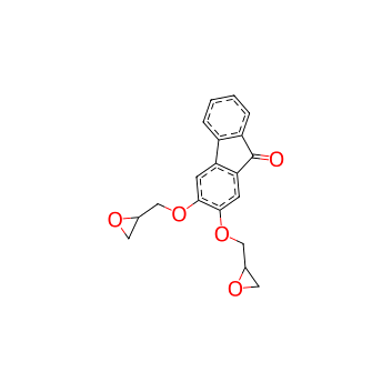 O=C1c2ccccc2-c2cc(OCC3CO3)c(OCC3CO3)cc21